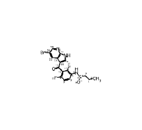 CCC[S+]([O-])Nc1ccc(F)c(C(=O)c2c[nH]c3ncc(Br)cc23)c1F